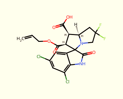 C=CCOC(=O)[C@H]1[C@@H](C(=O)O)[C@H]2CC(F)(F)CN2C12C(=O)Nc1c(Cl)cc(Cl)cc12